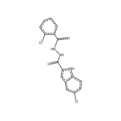 N=C(NNC(=O)c1cc2cc(Cl)ccc2[nH]1)c1ccccc1Cl